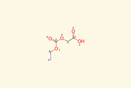 O=C(O)COC(=O)OCI